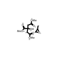 CC1CO1.COC(=O)CC(O)(CC(=O)OC)C(=O)OC